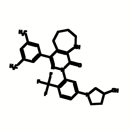 Cc1cc(C)cc(-c2nn(-c3cc(N4CCC(O)C4)ccc3C(F)(F)F)c(=O)c3c2CCCCN3)c1